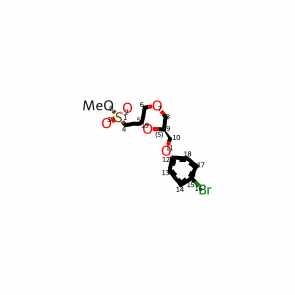 COS(=O)(=O)CC1COC[C@@H](COc2ccc(Br)cc2)O1